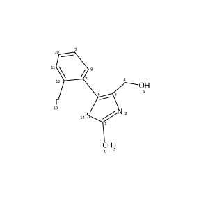 Cc1nc(CO)c(-c2ccccc2F)s1